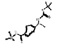 C[C@H](NC(=O)OC(C)(C)C)c1ccc(C(=S)N[Si](C)(C)C)cc1